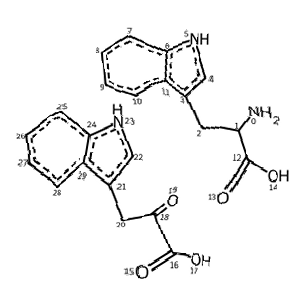 NC(Cc1c[nH]c2ccccc12)C(=O)O.O=C(O)C(=O)Cc1c[nH]c2ccccc12